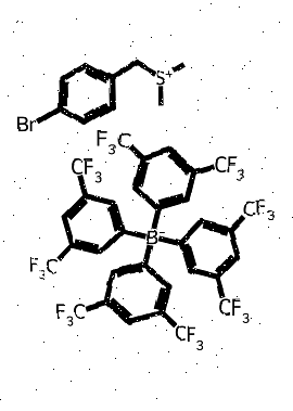 C[S+](C)Cc1ccc(Br)cc1.FC(F)(F)c1cc([B-](c2cc(C(F)(F)F)cc(C(F)(F)F)c2)(c2cc(C(F)(F)F)cc(C(F)(F)F)c2)c2cc(C(F)(F)F)cc(C(F)(F)F)c2)cc(C(F)(F)F)c1